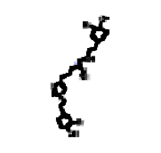 N=N/C(=C\NCCc1ccc(O)c(Br)c1)CCCc1cn(CCc2ccc(O)c(Br)c2)nn1